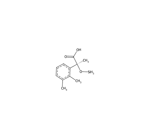 Cc1cccc([C@](C)(O[SiH3])C(=O)O)c1C